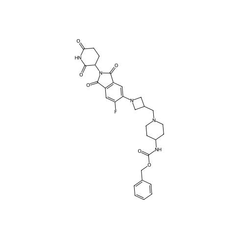 O=C1CCC(N2C(=O)c3cc(F)c(N4CC(CN5CCC(NC(=O)OCc6ccccc6)CC5)C4)cc3C2=O)C(=O)N1